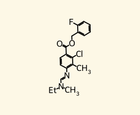 CCN(C)/C=N/c1ccc(C(=O)OCc2ccccc2F)c(Cl)c1C